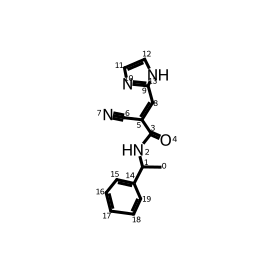 CC(NC(=O)C(C#N)=Cc1ncc[nH]1)c1ccccc1